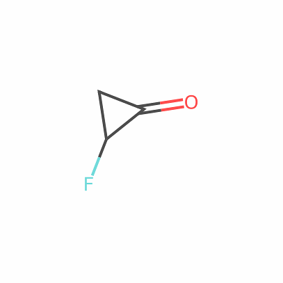 O=C1CC1F